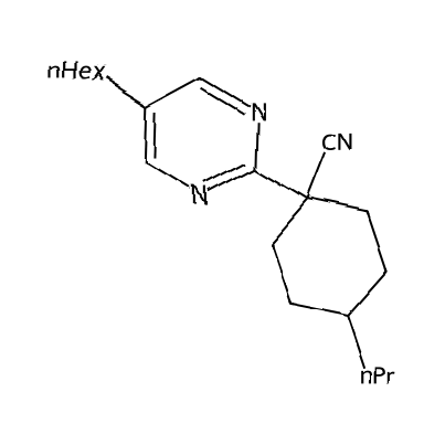 CCCCCCc1cnc(C2(C#N)CCC(CCC)CC2)nc1